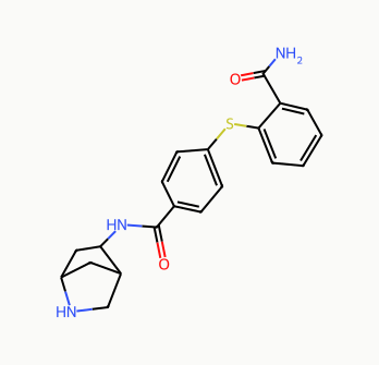 NC(=O)c1ccccc1Sc1ccc(C(=O)NC2CC3CC2CN3)cc1